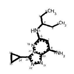 CCC(CC)Nc1cc(N)c2nnc(C3CC3)n2n1